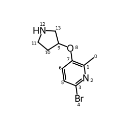 Cc1nc(Br)ccc1OC1CCNC1